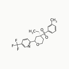 CC[C@]1(S(=O)(=O)c2cccc(C)c2)CCOC(c2ccc(C(F)(F)F)cn2)C1